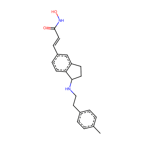 Cc1ccc(CCNC2CCc3cc(C=CC(=O)NO)ccc32)cc1